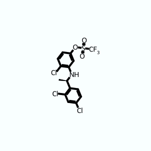 C[C@@H](Nc1cc(OS(=O)(=O)C(F)(F)F)ccc1Cl)c1ccc(Cl)cc1Cl